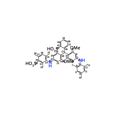 COc1cc(Nc2c(C)cc(C)cc2C)ccc1C(c1ccc(Nc2c(C)cc(C)c(S(=O)(=O)O)c2C)cc1OC)c1ccccc1S(=O)(=O)O